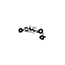 Cc1ccccc1Oc1cccc(CNC(=O)[C@H](O)[C@@H](O)C(=O)N2CCN(c3ccccc3)CC2)c1